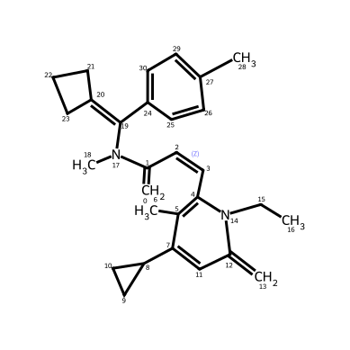 C=C(/C=C\C1=C(C)C(C2CC2)=CC(=C)N1CC)N(C)C(=C1CCC1)c1ccc(C)cc1